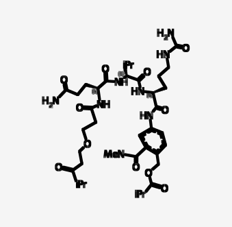 CNC(=O)c1cc(NC(=O)[C@H](CCCNC(N)=O)NC(=O)[C@@H](NC(=O)[C@H](CCC(N)=O)NC(=O)CCOCCC(=O)C(C)C)C(C)C)ccc1COC(=O)C(C)C